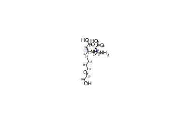 C/C(N)=C/C(=O)O.C/C(N)=C/C(=O)O.CCCCOCCO